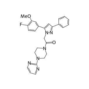 COc1cc(-c2cc(-c3ccccc3)nn2CC(=O)N2CCN(c3ncccn3)CC2)ccc1F